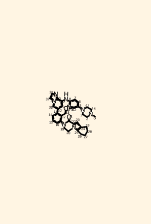 CN1CCN(c2ccc(Nc3cc(-c4cccc(N5CCn6c(cc7c6CCCC7)C5=O)c4CO)cn4ccnc34)nc2)CC1